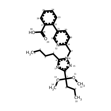 CCCCc1nc(C(CCC)(OC)OC)nn1Cc1ccc(-c2ccccc2C(=O)O)cn1